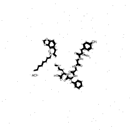 CCCCCCCC[S+]([O-])C(C)Cc1ccc2c(c1)OCO2.CSCC[C@@H](NC(=O)[C@@H](Cc1ccccc1)NC(=O)CNC(=O)CNC(=O)[C@H](N)Cc1ccc(O)cc1)C(=O)O.Cl